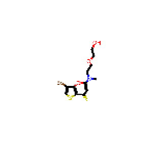 CN(CCOCCO)c1cc(=S)c2scc(Br)c2o1